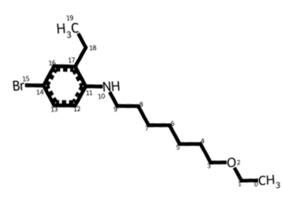 CCOCCCCCCCNc1ccc(Br)cc1CC